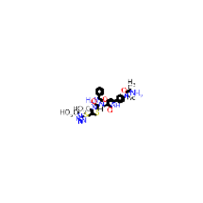 CC(=O)N(C(=O)[C@@H](C)N)c1ccc(-c2ccc(CN(C(=O)C(N)c3ccccc3)C3C(=O)N4C(C(=O)O)=C(CSc5nnnn5CC(=O)O)CS[C@@H]34)c(=O)[nH]2)cc1